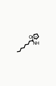 CCCCCCCC(=N)[N+]1([O-])CCCC1